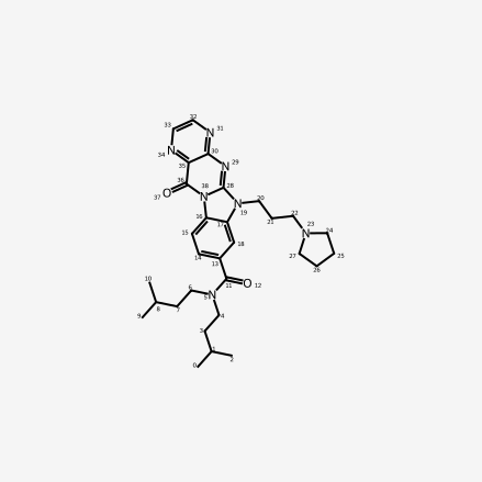 CC(C)CCN(CCC(C)C)C(=O)c1ccc2c(c1)n(CCCN1CCCC1)c1nc3nccnc3c(=O)n21